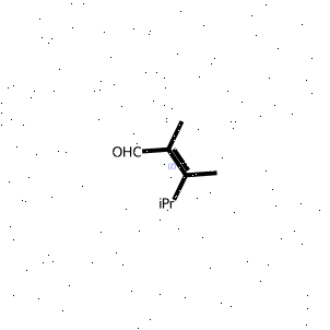 C/C(C=O)=C(\C)C(C)C